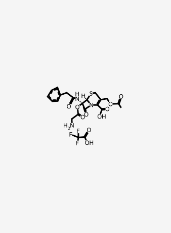 CC(=O)OCC1=C(C(=O)O)N2C(=O)[C@@](NC(=O)Cc3ccccc3)(OC(=O)CN)[C@H]2SC1.O=C(O)C(F)(F)F